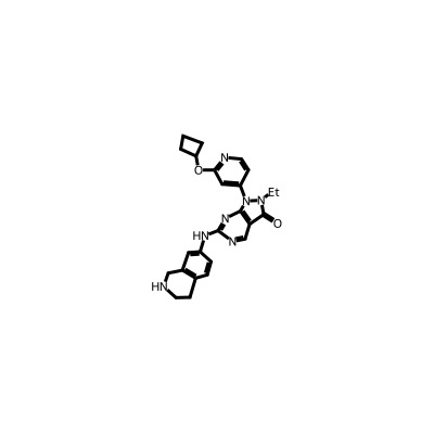 CCn1c(=O)c2cnc(Nc3ccc4c(c3)CNCC4)nc2n1-c1ccnc(OC2CCC2)c1